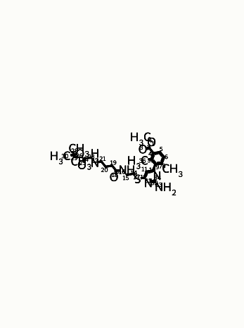 COC(=O)c1ccc(C)c(-c2cc(SCCNC(=O)CCCNCC(=O)OC(C)(C)C)nc(N)n2)c1C